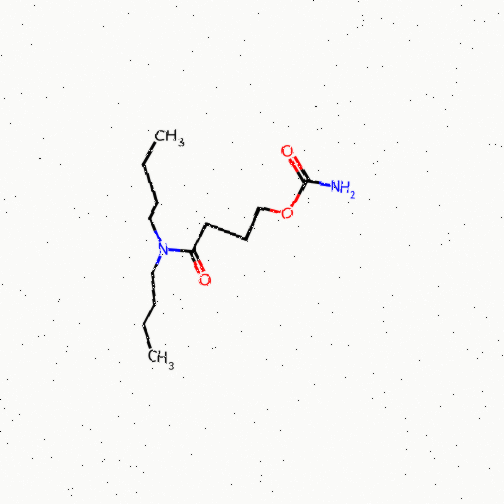 CCCCN(CCCC)C(=O)CCCOC(N)=O